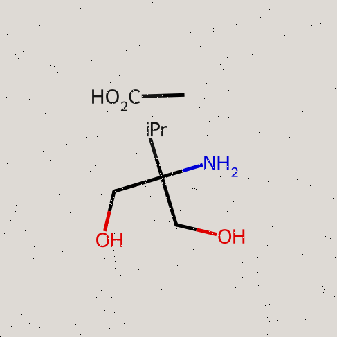 CC(=O)O.CC(C)C(N)(CO)CO